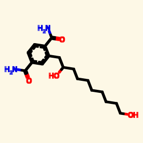 NC(=O)c1ccc(C(N)=O)c(CC(O)CCCCCCCCO)c1